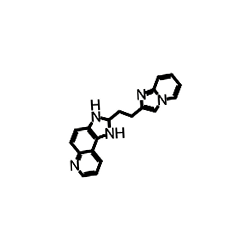 c1cnc2ccc3c(c2c1)NC(CCc1cn2ccccc2n1)N3